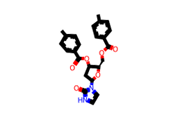 Cc1ccc(C(=O)OC[C@H]2OC(n3cc[nH]c3=O)CC2OC(=O)c2ccc(C)cc2)cc1